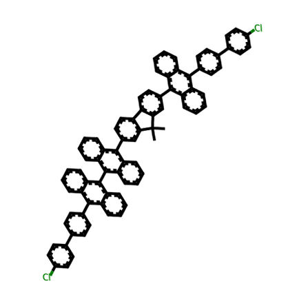 CC1(C)c2cc(-c3c4ccccc4c(-c4ccc(-c5ccc(Cl)cc5)cc4)c4ccccc34)ccc2-c2ccc(-c3c4ccccc4c(-c4c5ccccc5c(-c5ccc(-c6ccc(Cl)cc6)cc5)c5ccccc45)c4ccccc34)cc21